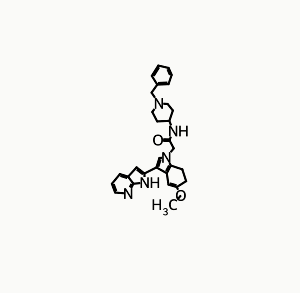 COC1=Cc2c(-c3cc4cccnc4[nH]3)cn(CC(=O)NC3CCN(Cc4ccccc4)CC3)c2CC1